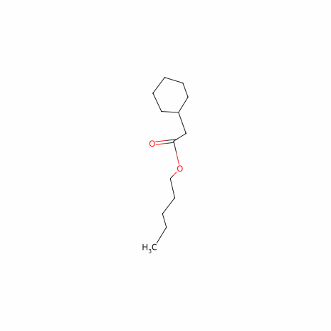 CCCCCOC(=O)CC1CCCCC1